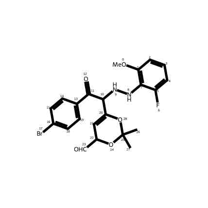 COc1cccc(F)c1NNC(C(=O)c1ccc(Br)cc1)C1=CC(C=O)OC(C)(C)O1